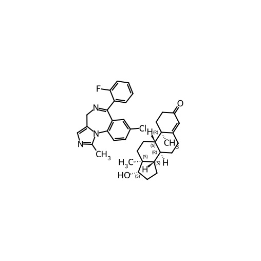 C[C@]12CC[C@H]3[C@@H](CCC4=CC(=O)CC[C@@]43C)[C@@H]1CC[C@@H]2O.Cc1ncc2n1-c1ccc(Cl)cc1C(c1ccccc1F)=NC2